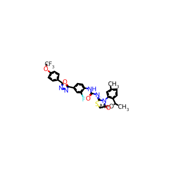 COC(C)c1ccc(C)cc1N1C(=O)CS/C1=N\C(=O)Nc1ccc(-c2nnc(-c3ccc(OC(F)(F)F)cc3)o2)cc1F